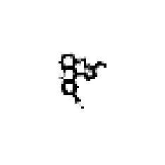 CCc1ccc2c(-c3cccc(C#N)c3)c3c(nn12)CCCC3=O